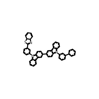 C1=CC2N=C(c3cccc(-n4c5ccccc5c5cc(-c6ccc7c(c6)c6ccccc6n7-c6cccc(-c7ccccc7)c6)ccc54)c3)SC2C=C1